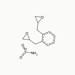 N[SH](=O)=O.c1ccc(CC2CO2)c(CC2CO2)c1